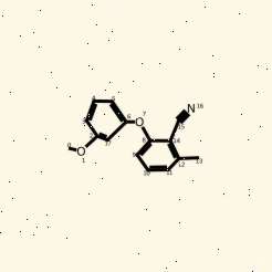 COc1cccc(Oc2cccc(C)c2C#N)c1